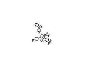 C[C@@H](O[C@H]1OCC[C@@H](CN2CC[N+]([O-])(c3ccccc3)CC2)[C@@H]1c1ccc(F)cc1)c1cc(C(F)(F)F)cc(C(F)(F)F)c1